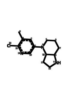 Cc1cc(N2CCCC3NCCC32)cnc1Cl